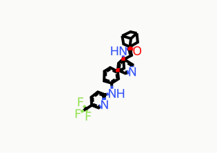 O=C(Nc1cccnc1)C1C2CC(=CCCc3cccc(Nc4ccc(C(F)(F)F)cn4)c3)CC1C2